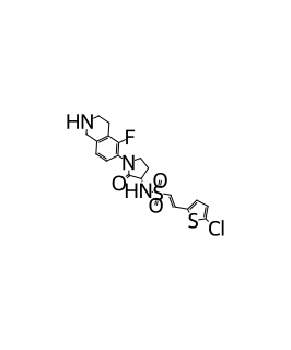 O=C1[C@@H](NS(=O)(=O)/C=C/c2ccc(Cl)s2)CCN1c1ccc2c(c1F)CCNC2